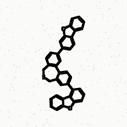 c1ccc2c(c1)oc1cc(-c3ccc4c(c3)-c3ccc(-c5cccc6oc7ccccc7c56)cc3CSC4)ccc12